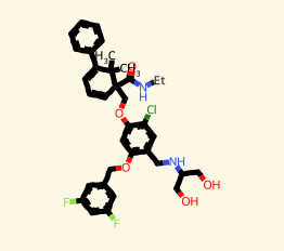 CCNC(=O)C1(COc2cc(OCc3cc(F)cc(F)c3)c(CNC(CO)CO)cc2Cl)C=CC=C(c2ccccc2)C1(C)C